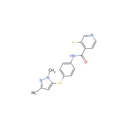 Cn1nc(C#N)cc1Sc1ccc(NC(=O)c2ccncc2F)cc1